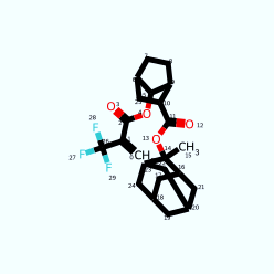 C=C(C(=O)OC1C2CCC1C(C(=O)OC1(C)C3CC4CC(C3)CC1C4)C2)C(F)(F)F